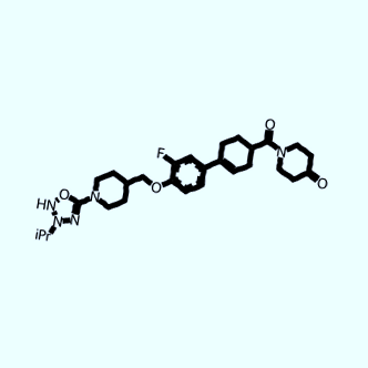 CC(C)N1N=C(N2CCC(COc3ccc(C4=CCC(C(=O)N5CCC(=O)CC5)CC4)cc3F)CC2)ON1